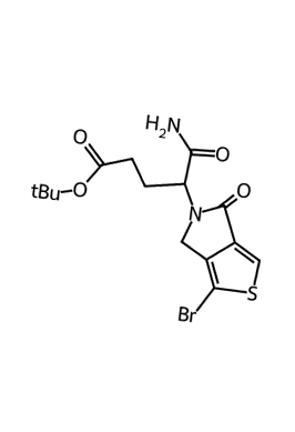 CC(C)(C)OC(=O)CCC(C(N)=O)N1Cc2c(csc2Br)C1=O